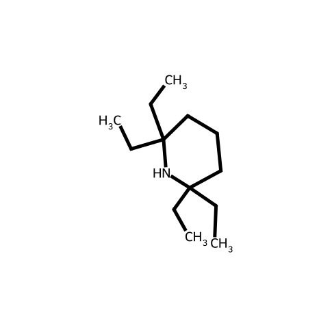 CCC1(CC)CCCC(CC)(CC)N1